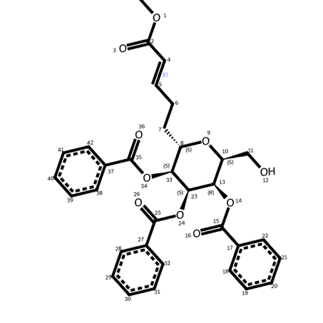 COC(=O)/C=C/CC[C@@H]1O[C@@H](CO)[C@@H](OC(=O)c2ccccc2)[C@@H](OC(=O)c2ccccc2)[C@H]1OC(=O)c1ccccc1